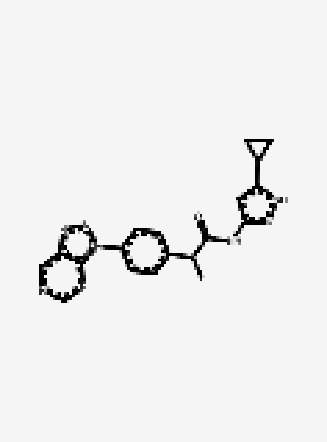 CC(C(=O)Nc1cc(C2CC2)[nH]n1)c1ccc(-n2nnc3cncnc32)cc1